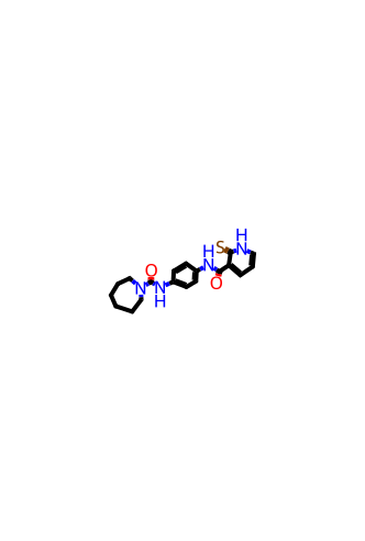 O=C(Nc1ccc(NC(=O)N2CCCCCC2)cc1)c1ccc[nH]c1=S